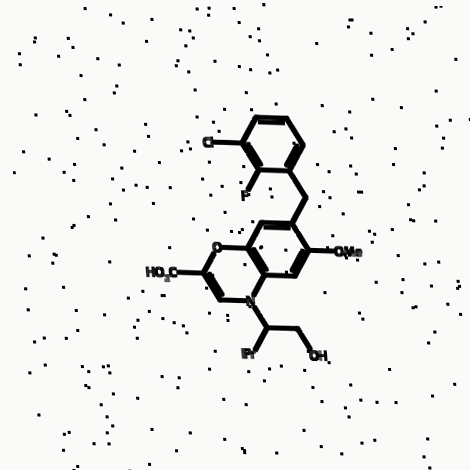 COc1cc2c(cc1Cc1cccc(Cl)c1F)OC(C(=O)O)=CN2C(CO)C(C)C